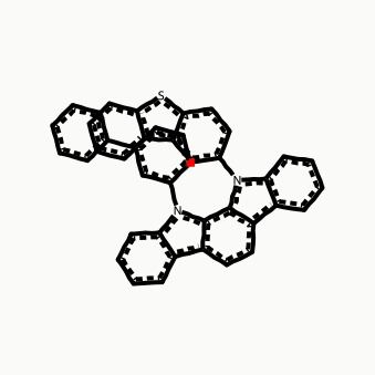 c1ccc(-c2cccc(-n3c4ccccc4c4ccc5c6ccccc6n(-c6ccc7sc8ccccc8c7c6)c5c43)c2)cc1